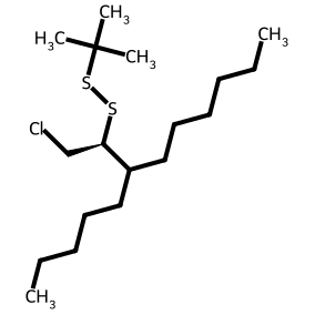 CCCCCCC(CCCCC)[C@@H](CCl)SSC(C)(C)C